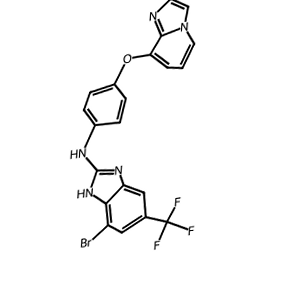 FC(F)(F)c1cc(Br)c2[nH]c(Nc3ccc(Oc4cccn5ccnc45)cc3)nc2c1